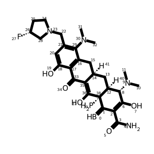 B=C1C(C(N)=O)=C(O)[C@@H](N(C)C)[C@@H]2C[C@@H]3Cc4c(c(O)cc(CN5CC[C@@H](F)C5)c4N(C)C)C(=O)C3=C(O)[C@]12P